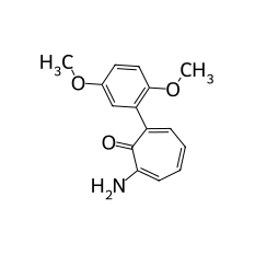 COc1ccc(OC)c(-c2ccccc(N)c2=O)c1